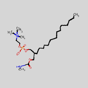 CCCCCCCCCCCCCCC(COC(=O)NC)COP(=O)([O-])OCC[N+](C)(C)C